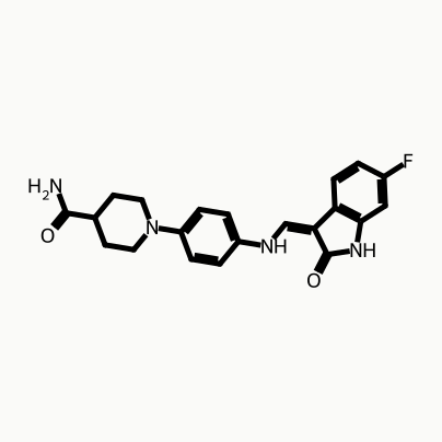 NC(=O)C1CCN(c2ccc(N/C=C3\C(=O)Nc4cc(F)ccc43)cc2)CC1